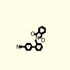 N#Cc1ccc(-c2ccccc2CN2C(=O)c3ccccc3C2=O)cc1